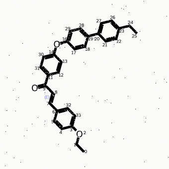 CCOc1ccc(/C=C/C(=O)c2ccc(Oc3ccc(-c4ccc(CC)cc4)cc3)cc2)cc1